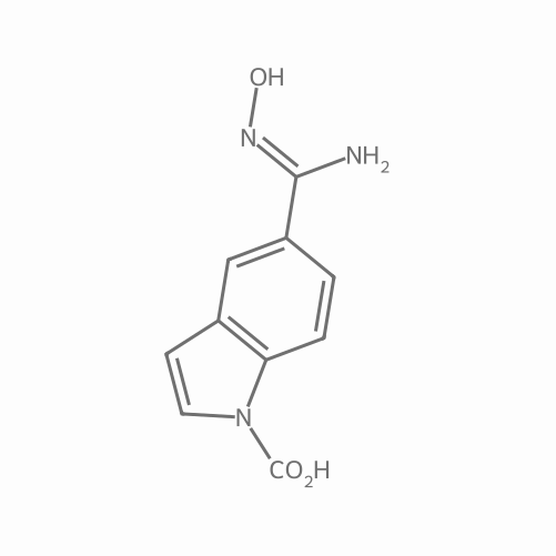 NC(=NO)c1ccc2c(ccn2C(=O)O)c1